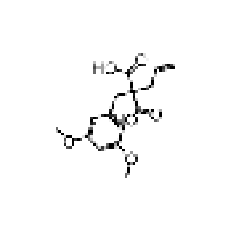 C=CCC(Cc1cc(OC)cc(OC)c1)(C(=O)O)C(=O)O